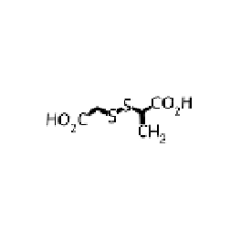 C=C(SSCC(=O)O)C(=O)O